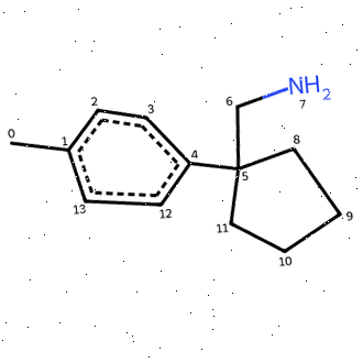 Cc1ccc(C2(CN)CCCC2)cc1